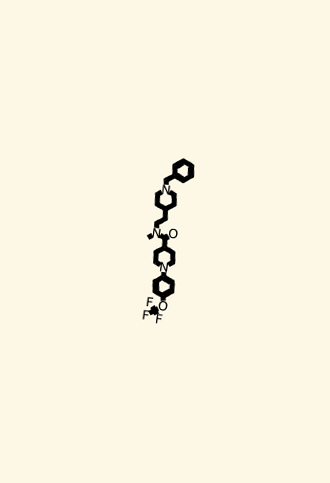 CN(CCC1CCN(Cc2ccccc2)CC1)C(=O)C1CCN(c2ccc(OC(F)(F)F)cc2)CC1